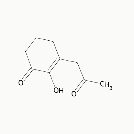 CC(=O)CC1=C(O)C(=O)CCC1